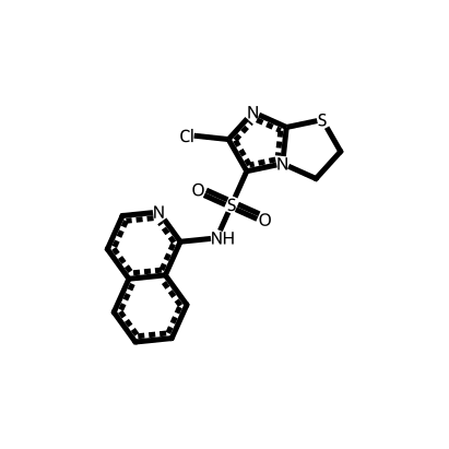 O=S(=O)(Nc1nccc2ccccc12)c1c(Cl)nc2n1CCS2